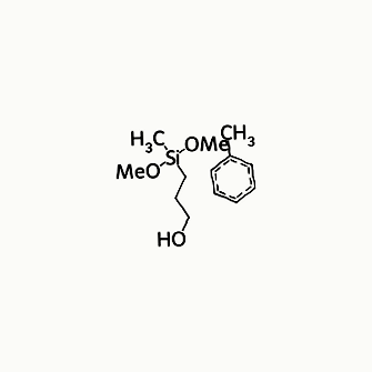 CO[Si](C)(CCCO)OC.Cc1ccccc1